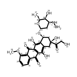 BN[C@H]1C[C@H](O[C@H]2C[C@](O)(C(=O)CO)Cc3c(O)c4c(c(O)c32)C(=O)c2c(OC)cccc2C4=O)O[C@@H](C)[C@H]1O